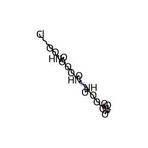 O=C(CCOCCOCCOC(=O)NCCOCCOCCCCCCCl)NC/C=C/CNC(=O)CCOCCOCCC(=O)ON1C(=O)CCC1=O